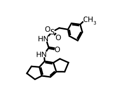 Cc1cccc(CS(=O)(=O)NC(=O)Nc2c3c(cc4c2CCC4)CCC3)c1